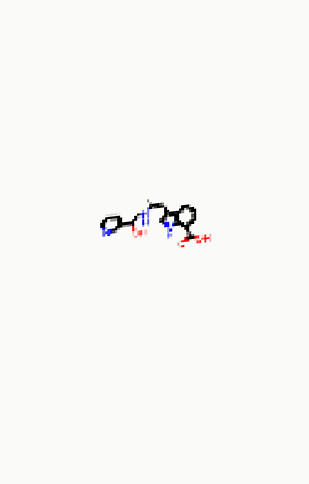 C[C@H](Cc1c[nH]c2c(C(=O)O)cccc12)NCC(O)c1cccnc1